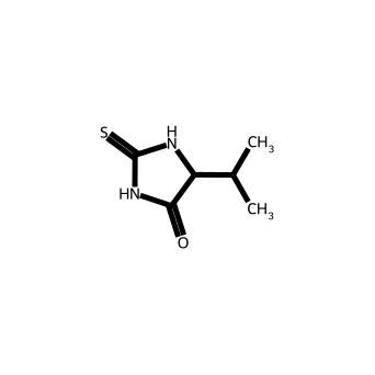 CC(C)C1NC(=S)NC1=O